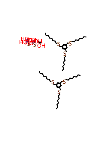 C=C(C)O.CCCCCCCCSCc1cc(CSCCCCCCCC)cc(CSCCCCCCCC)c1.CCCCCCCCSCc1cc(CSCCCCCCCC)cc(CSCCCCCCCC)c1.OP(O)(O)=S.OP(O)(O)=S